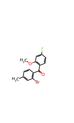 COc1cc(F)ccc1C(=O)c1ccc(C)cc1Br